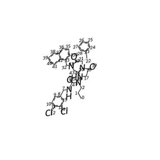 CCCN(C(=O)NCc1ccc(Cl)c(Cl)c1)N1CC(=O)N2[C@@H](Cc3ccccc3)C(=O)N(Cc3cccc4ccccc34)C[C@@H]21